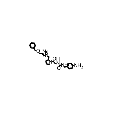 Nc1ccc(CNC(=O)NCC(=O)N2CCCC2Cn2cc(COCc3ccccc3)nn2)cc1